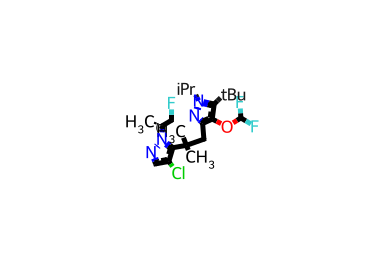 CC(C)n1nc(CC(C)(C)c2c(Cl)cnn2[C@H](C)CF)c(OC(F)F)c1C(C)(C)C